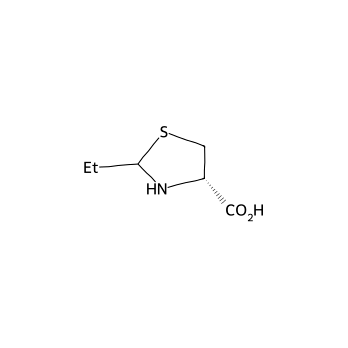 CCC1N[C@@H](C(=O)O)CS1